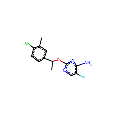 Cc1cc(C(C)Oc2ncc(F)c(N)n2)ccc1Cl